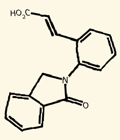 O=C(O)/C=C/c1ccccc1N1Cc2ccccc2C1=O